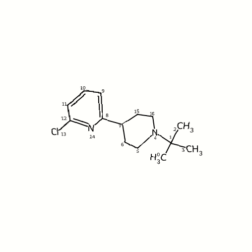 CC(C)(C)N1CCC(c2cccc(Cl)n2)CC1